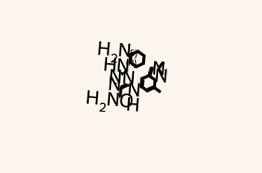 Cc1cc(Nc2nc(N[C@@H]3CCCC[C@@H]3N)nnc2C(N)=O)cc2cn(C)nc12